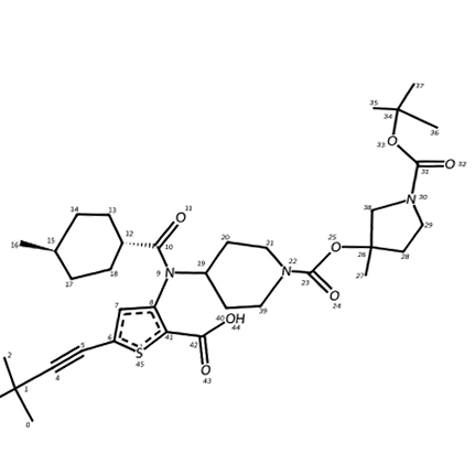 CC(C)(C)C#Cc1cc(N(C(=O)[C@H]2CC[C@H](C)CC2)C2CCN(C(=O)OC3(C)CCN(C(=O)OC(C)(C)C)C3)CC2)c(C(=O)O)s1